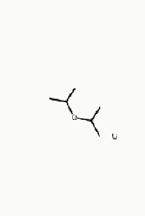 CC(C)OC(C)C.[Li]